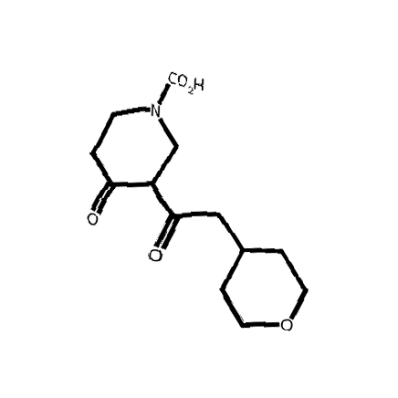 O=C1CCN(C(=O)O)CC1C(=O)CC1CCOCC1